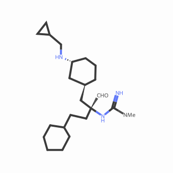 CNC(=N)N[C@](C=O)(CCC1CCCCC1)C[C@@H]1CCC[C@@H](NCC2CC2)C1